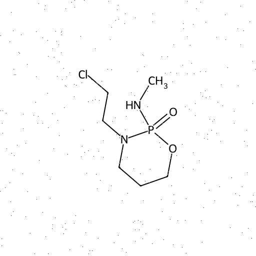 CNP1(=O)OCCCN1CCCl